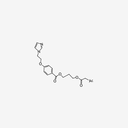 CC(=O)CC(=O)OCCCOC(=O)c1ccc(OCCn2ccnc2)cc1